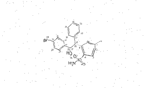 Cc1ccc(S(N)(=O)=O)c([C@@H](c2ccccc2)[C@H](O)c2ccc(Br)cc2)c1